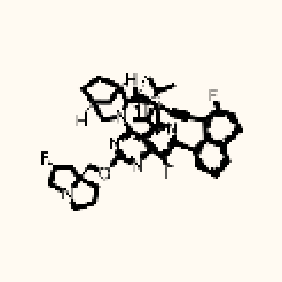 CC(C)[Si](C#Cc1c(F)ccc2cccc(-c3nc4c5c(nc(OC[C@@]67CCCN6C[C@H](F)C7)nc5c3F)N3C[C@H]5CC[C@H](C5)[C@H]3[C@H](C)C4)c12)(C(C)C)C(C)C